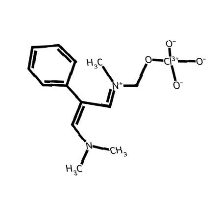 CN(C)C=C(C=[N+](C)CO[Cl+3]([O-])([O-])[O-])c1ccccc1